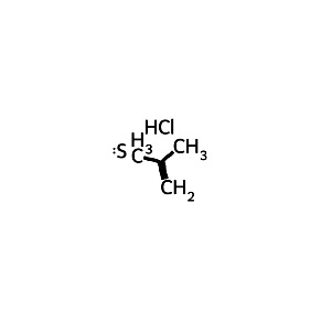 C=C(C)C.Cl.[S]